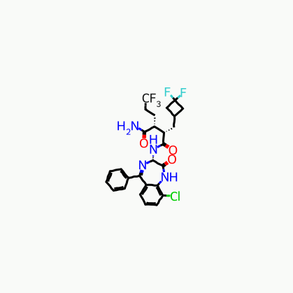 NC(=O)[C@H](CCC(F)(F)F)[C@H](CC1CC(F)(F)C1)C(=O)N[C@H]1N=C(c2ccccc2)c2cccc(Cl)c2NC1=O